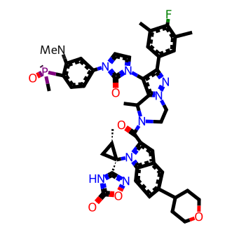 CNc1cc(-n2ccn(-c3c(-c4cc(C)c(F)c(C)c4)nn4c3C(C)N(C(=O)c3cc5cc(C6CCOCC6)ccc5n3[C@@]3(c5noc(=O)[nH]5)C[C@@H]3C)CC4)c2=O)ccc1P(C)(C)=O